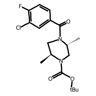 C[C@@H]1CN(C(=O)OC(C)(C)C)[C@@H](C)CN1C(=O)c1ccc(F)c(Cl)c1